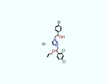 C=CCOC(C[n+]1ccn(CC(O)c2ccc(Br)cc2)c1)c1ccc(Cl)cc1Cl.[Br-]